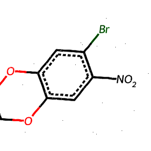 O=[N+]([O-])c1cc2c(cc1Br)OCCO2